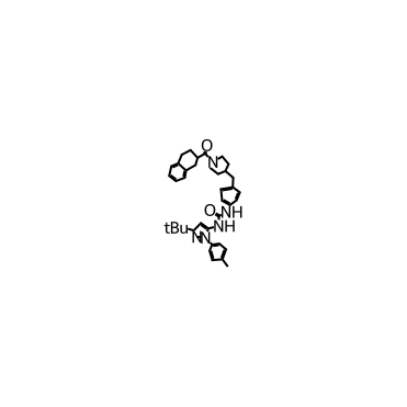 Cc1ccc(-n2nc(C(C)(C)C)cc2NC(=O)Nc2ccc(CC3CCN(C(=O)C4CCc5ccccc5C4)CC3)cc2)cc1